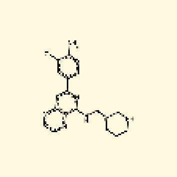 Nc1ccc(-c2cc3nccnc3c(NC[C@@H]3CCCNC3)n2)cc1Cl